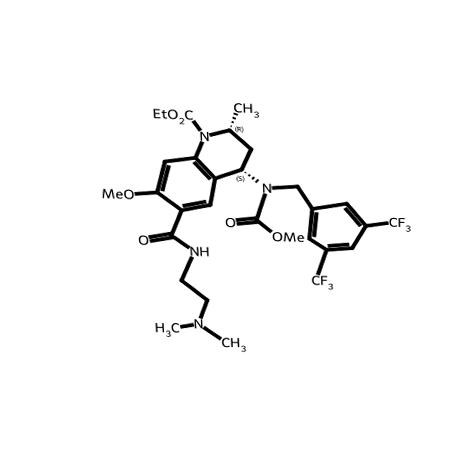 CCOC(=O)N1c2cc(OC)c(C(=O)NCCN(C)C)cc2[C@@H](N(Cc2cc(C(F)(F)F)cc(C(F)(F)F)c2)C(=O)OC)C[C@H]1C